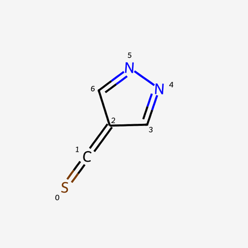 S=C=C1C=NN=C1